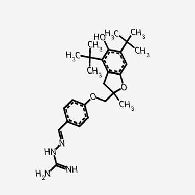 CC1(COc2ccc(/C=N/NC(=N)N)cc2)Cc2c(cc(C(C)(C)C)c(O)c2C(C)(C)C)O1